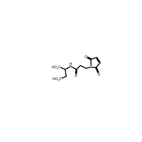 O=C(O)CC(NC(=O)CCN1C(=O)C=CC1=O)C(=O)O